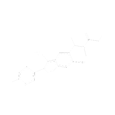 CCOC(=O)c1c(-c2ccc(F)cc2)oc2cc(N)c(C(C)N(C)C(=O)CCl)cc12